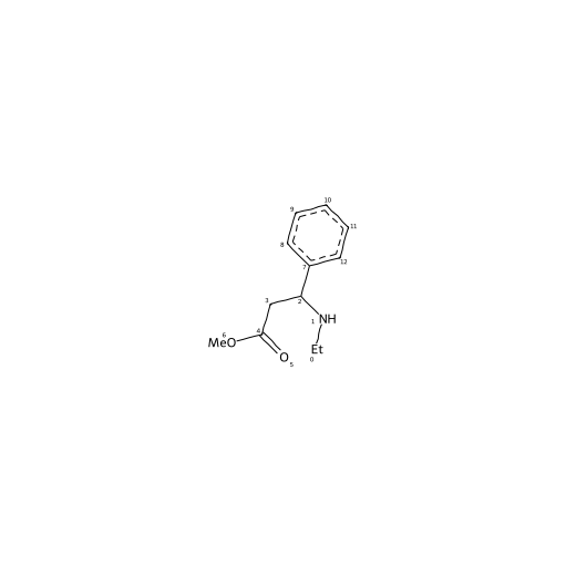 CCNC(CC(=O)OC)c1ccccc1